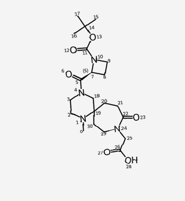 CN1CCN(C(=O)[C@@H]2CCN2C(=O)OC(C)(C)C)CC12CCC(=O)N(CC(=O)O)CC2